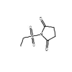 CCS(=O)(=O)N1C(=O)CCC1=O